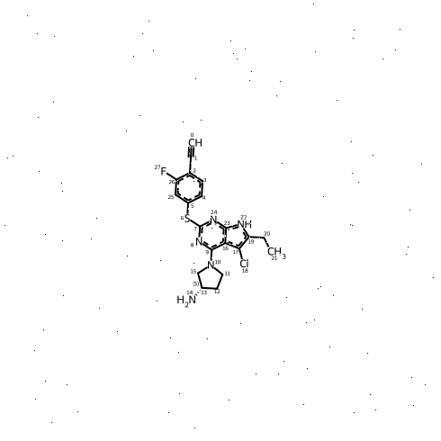 C#Cc1ccc(Sc2nc(N3CC[C@H](N)C3)c3c(Cl)c(CC)[nH]c3n2)cc1F